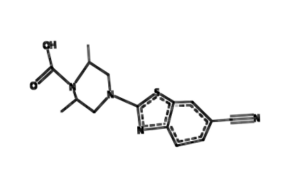 CC1CN(c2nc3ccc(C#N)cc3s2)CC(C)N1C(=O)O